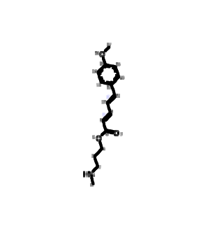 CNCCCOC(=O)/C=C/C=C/c1ccc(OC)cc1